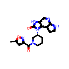 Cc1cc(C(=O)N2CCC[C@@H](n3c(=O)[nH]c4cnc5[nH]ccc5c43)C2)no1